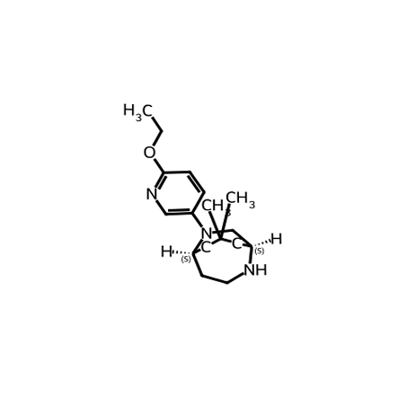 CCOc1ccc(N2C[C@@H]3CC(C)(C)C[C@H]2CCN3)cn1